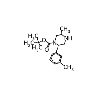 Cc1cccc([C@@H]2CN[C@H](C)CN2C(=O)OC(C)(C)C)c1